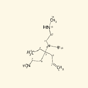 C=CCC(CC)(CCN)N(F)CCNC